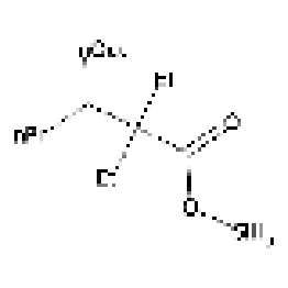 CCCCCCCCC(CCC)C(CC)(CC)C(=O)O[SiH3]